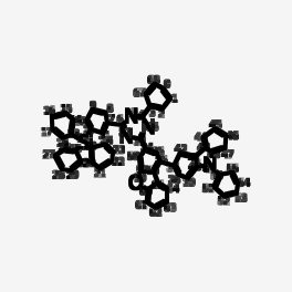 c1ccc(-c2nc(-c3cccc([Si](c4ccccc4)(c4ccccc4)c4ccccc4)c3)nc(-c3cc(-c4ccc5c(c4)c4ccccc4n5-c4ccccc4)c4c(c3)oc3ccccc34)n2)cc1